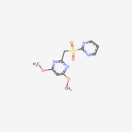 COc1cc(OC)nc(CS(=O)(=O)c2ncccn2)n1